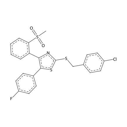 CS(=O)(=O)c1ccccc1-c1nc(SCc2ccc(Cl)cc2)sc1-c1ccc(F)cc1